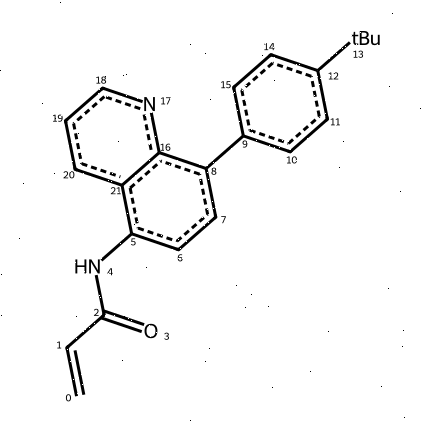 C=CC(=O)Nc1ccc(-c2ccc(C(C)(C)C)cc2)c2ncccc12